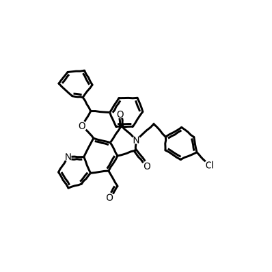 O=Cc1c2c(c(OC(c3ccccc3)c3ccccc3)c3ncccc13)C(=O)N(Cc1ccc(Cl)cc1)C2=O